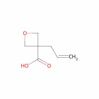 C=CCC1(C(=O)O)COC1